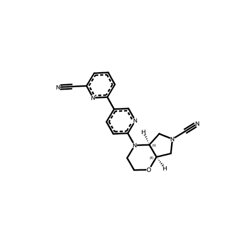 N#Cc1cccc(-c2ccc(N3CCO[C@@H]4CN(C#N)C[C@@H]43)nc2)n1